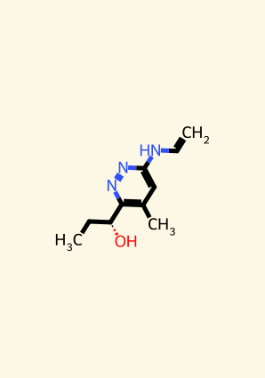 C=CNc1cc(C)c([C@H](O)CC)nn1